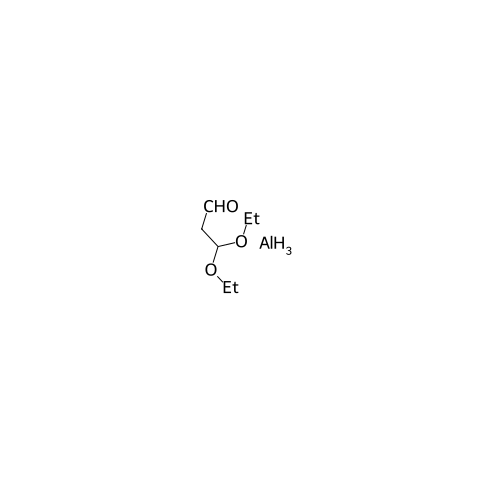 CCOC(CC=O)OCC.[AlH3]